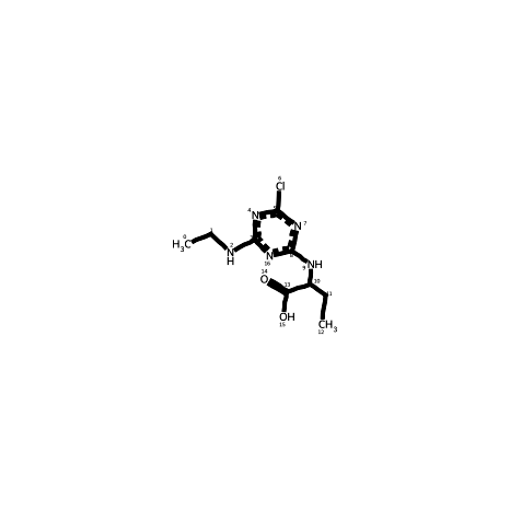 CCNc1nc(Cl)nc(NC(CC)C(=O)O)n1